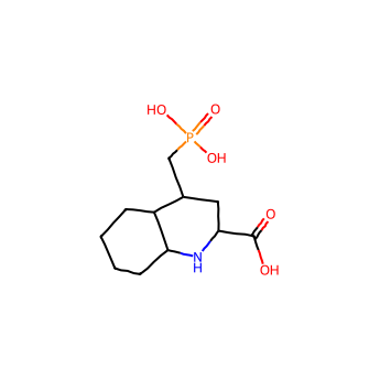 O=C(O)C1CC(CP(=O)(O)O)C2CCCCC2N1